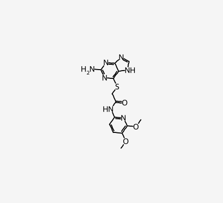 COc1ccc(NC(=O)CSc2nc(N)nc3nc[nH]c23)nc1OC